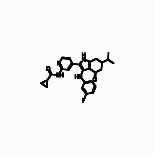 CC(C)C1CC(=O)c2c([nH]c(-c3ccnc(NC(=O)C4CC4)c3)c2Nc2cccc(F)c2)C1